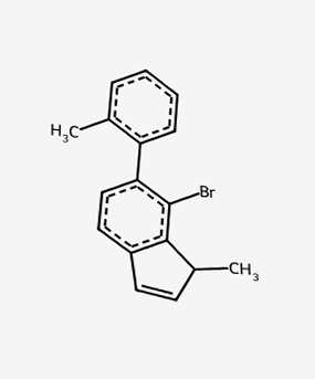 Cc1ccccc1-c1ccc2c(c1Br)C(C)C=C2